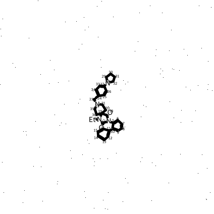 CCN1C(=O)N(c2ccccc2-c2ccccc2)C(=O)C12CCN(Cc1ccc(N3CCCC3)cc1)CC2